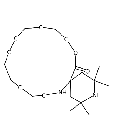 CC1(C)CC2(CC(C)(C)N1)NCCCCCCCCCCCOC2=O